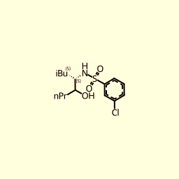 CCCC(O)[C@@H](NS(=O)(=O)c1cccc(Cl)c1)[C@@H](C)CC